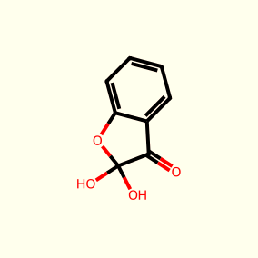 O=C1c2ccccc2OC1(O)O